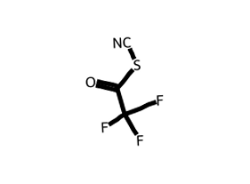 N#CSC(=O)C(F)(F)F